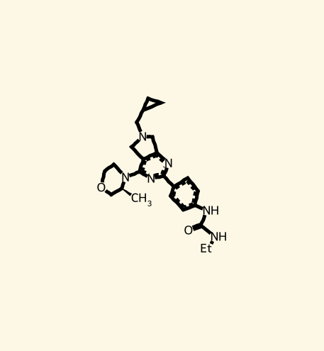 CCNC(=O)Nc1ccc(-c2nc3c(c(N4CCOC[C@@H]4C)n2)CN(CC2CC2)C3)cc1